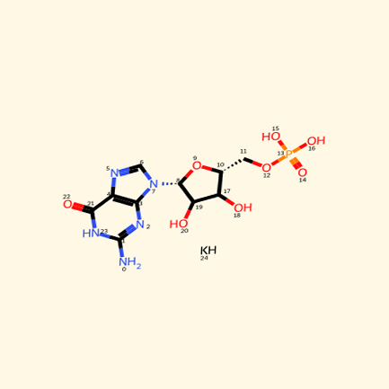 Nc1nc2c(ncn2[C@@H]2O[C@H](COP(=O)(O)O)C(O)C2O)c(=O)[nH]1.[KH]